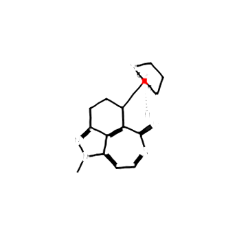 Cn1nc2c3c(c(=O)nccc31)C([C@@H]1CN3CCC1CC3)CC2